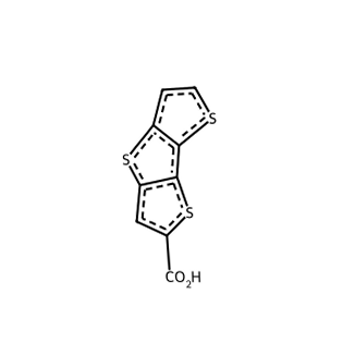 O=C(O)c1cc2sc3ccsc3c2s1